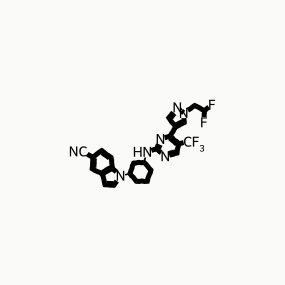 N#Cc1ccc2c(ccn2[C@H]2CCC[C@@H](Nc3ncc(C(F)(F)F)c(-c4cnn(CC(F)F)c4)n3)C2)c1